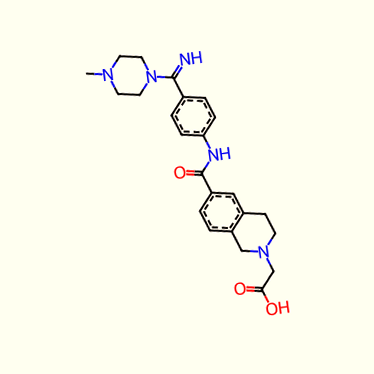 CN1CCN(C(=N)c2ccc(NC(=O)c3ccc4c(c3)CCN(CC(=O)O)C4)cc2)CC1